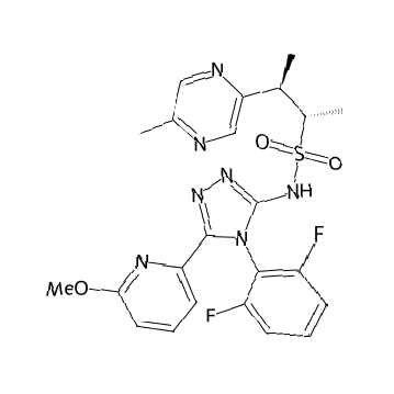 COc1cccc(-c2nnc(NS(=O)(=O)[C@@H](C)[C@H](C)c3cnc(C)cn3)n2-c2c(F)cccc2F)n1